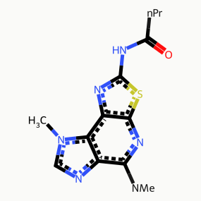 CCCC(=O)Nc1nc2c(nc(NC)c3ncn(C)c32)s1